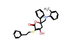 Cc1ccccc1NCC1(c2ccccc2)CC(O)=C(SCCc2ccccc2)C(=O)O1